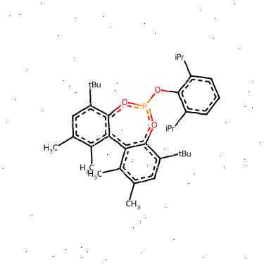 Cc1cc(C(C)(C)C)c2op(Oc3c(C(C)C)cccc3C(C)C)oc3c(C(C)(C)C)cc(C)c(C)c3c2c1C